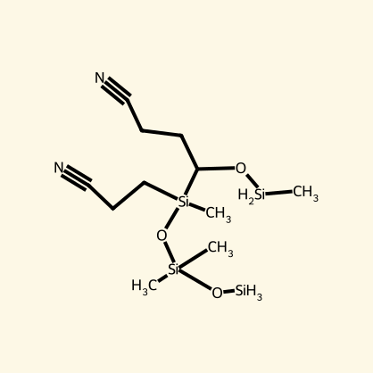 C[SiH2]OC(CCC#N)[Si](C)(CCC#N)O[Si](C)(C)O[SiH3]